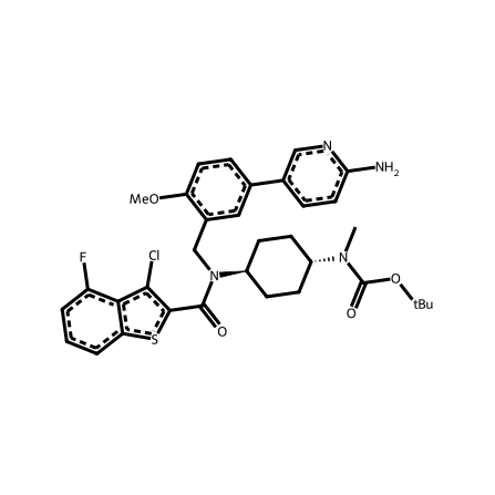 COc1ccc(-c2ccc(N)nc2)cc1CN(C(=O)c1sc2cccc(F)c2c1Cl)[C@H]1CC[C@H](N(C)C(=O)OC(C)(C)C)CC1